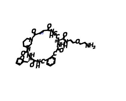 NCCOCCNC(=O)[C@@H]1CCNC(=O)/C=C/C(=O)N2CCC[C@H](C2)C(=O)N[C@@H](Cc2ccco2)C(=O)NCc2ccccc2CC(=O)N1